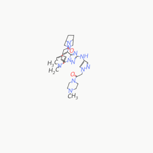 C=N/C=C\C(=C/C)CC(=O)N1C2CCC1CN(c1cccn3nc(Nc4cnn(CC(=O)N5CCN(C)CC5)c4)nc13)C2